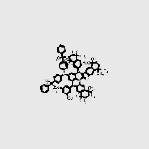 CC(C)(C)c1cc(N2c3cc4c(cc3B3c5oc6cc7c(cc6c5N(c5ccc6c(c5)C(C)(C)CCC6(C)C)c5cc(N(c6ccc(C(C)(C)c8ccccc8)cc6)c6ccc(C(C)(C)c8ccccc8)cc6)cc2c53)C(C)(C)CCC7(C)C)C(C)(C)CCC4(C)C)cc(C(C)(C)C)c1